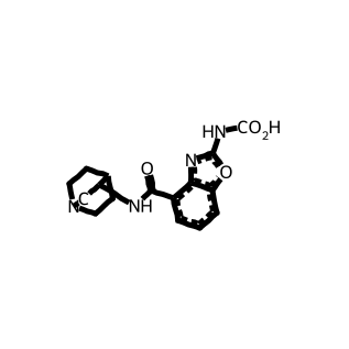 O=C(O)Nc1nc2c(C(=O)NC3CN4CCC3CC4)cccc2o1